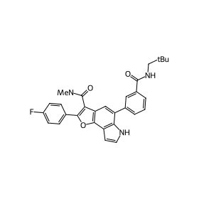 CNC(=O)c1c(-c2ccc(F)cc2)oc2c1cc(-c1cccc(C(=O)NCC(C)(C)C)c1)c1[nH]ccc12